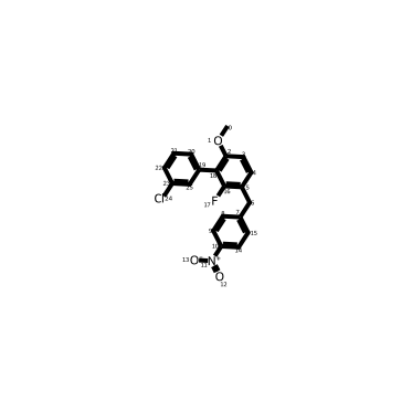 COc1ccc(Cc2ccc([N+](=O)[O-])cc2)c(F)c1-c1cccc(Cl)c1